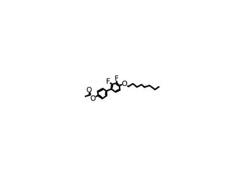 CCCCCCCCOc1ccc(-c2ccc(OC(C)=O)cc2)c(F)c1F